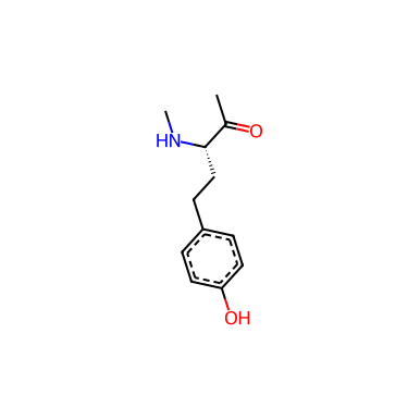 CN[C@@H](CCc1ccc(O)cc1)C(C)=O